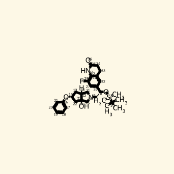 CC(C)(C)[Si](C)(C)O[C@H](CN1C[C@H]2C[C@H](Oc3ccccc3)C[C@@]2(O)C1)c1cc(F)c2c(c1)CCC(=O)N2